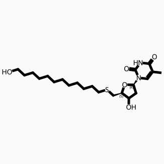 Cc1cn([C@H]2CC(O)[C@@H](CSCCCCCCCCCCCCO)O2)c(=O)[nH]c1=O